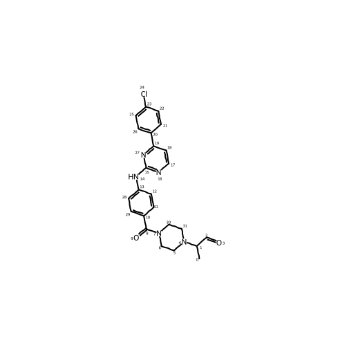 CC(C=O)N1CCN(C(=O)c2ccc(Nc3nccc(-c4ccc(Cl)cc4)n3)cc2)CC1